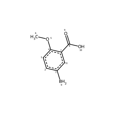 Bc1ccc(OC)c(C(=O)O)c1